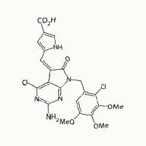 COc1cc(CN2C(=O)C(=Cc3cc(C(=O)O)c[nH]3)c3c(Cl)nc(N)nc32)c(Cl)c(OC)c1OC